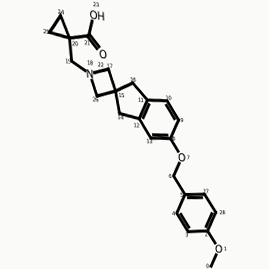 COc1ccc(COc2ccc3c(c2)CC2(C3)CN(CC3(C(=O)O)CC3)C2)cc1